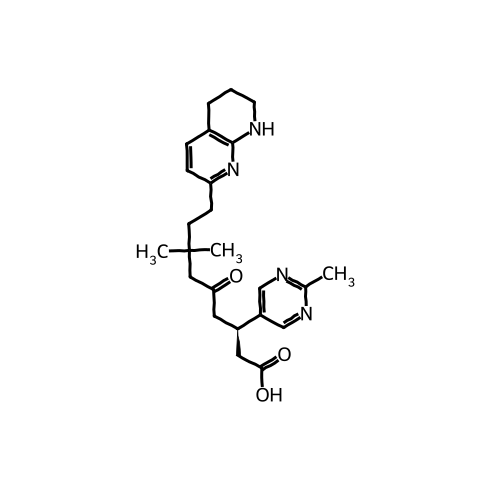 Cc1ncc([C@@H](CC(=O)O)CC(=O)CC(C)(C)CCc2ccc3c(n2)NCCC3)cn1